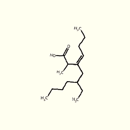 CCCC=C(CC(CC)CCCC)C(C)C(=O)O